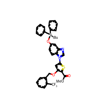 COC(=O)c1sc(-n2cnc3cc(O[Si](c4ccccc4)(c4ccccc4)C(C)(C)C)ccc32)cc1OCc1ccccc1C(F)(F)F